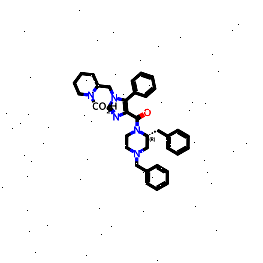 O=C(O)N1CCCCC1Cn1cnc(C(=O)N2CCN(Cc3ccccc3)C[C@H]2Cc2ccccc2)c1-c1ccccc1